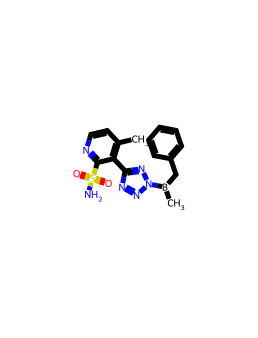 CB(Cc1ccccc1)n1nnc(-c2c(C)ccnc2S(N)(=O)=O)n1